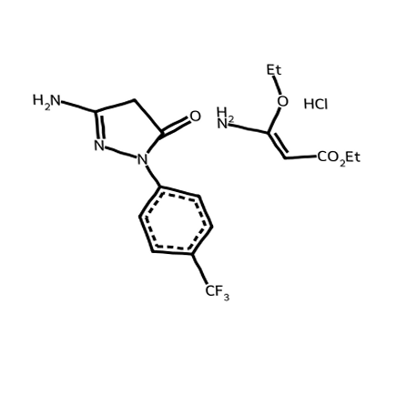 CCOC(=O)C=C(N)OCC.Cl.NC1=NN(c2ccc(C(F)(F)F)cc2)C(=O)C1